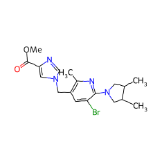 COC(=O)c1cn(Cc2cc(Br)c(N3CC(C)C(C)C3)nc2C)cn1